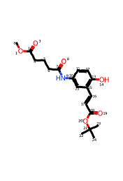 COC(=O)CCCC(=O)Nc1ccc(O)c(/C=C/C(=O)OC(C)(C)C)c1